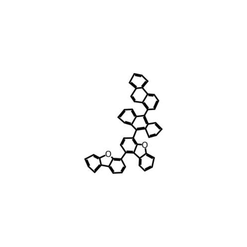 c1ccc2c(c1)ccc1c(-c3c4ccccc4c(-c4ccc(-c5cccc6c5oc5ccccc56)c5c4oc4ccccc45)c4ccccc34)cccc12